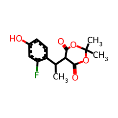 CC(c1ccc(O)cc1F)C1C(=O)OC(C)(C)OC1=O